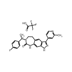 Cc1cc(-c2n[nH]c3cc4c(cc23)CCN([C@H](C)c2ccc(F)cc2)C(=O)N4)ccn1.O=C(O)C(F)(F)F